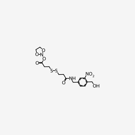 O=C(CCSSCCC(=O)ON1OCCO1)NCc1ccc(CO)c([N+](=O)[O-])c1